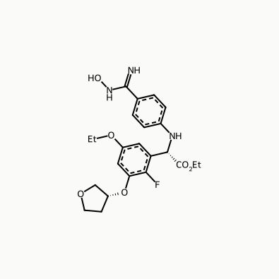 CCOC(=O)[C@@H](Nc1ccc(C(=N)NO)cc1)c1cc(OCC)cc(O[C@@H]2CCOC2)c1F